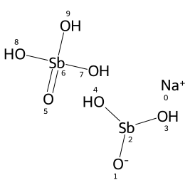 [Na+].[O-][Sb]([OH])[OH].[O]=[Sb]([OH])([OH])[OH]